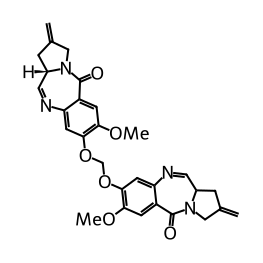 C=C1CC2C=Nc3cc(OCOc4cc5c(cc4OC)C(=O)N4CC(=C)C[C@H]4C=N5)c(OC)cc3C(=O)N2C1